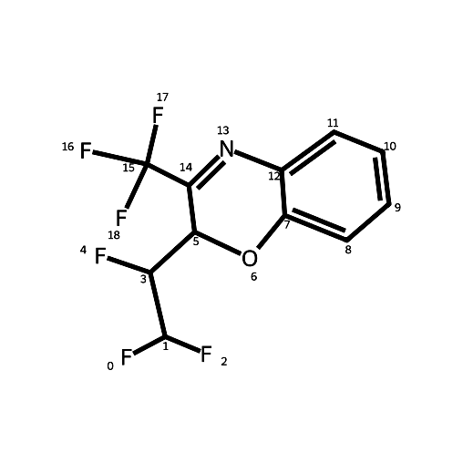 FC(F)C(F)C1Oc2ccccc2N=C1C(F)(F)F